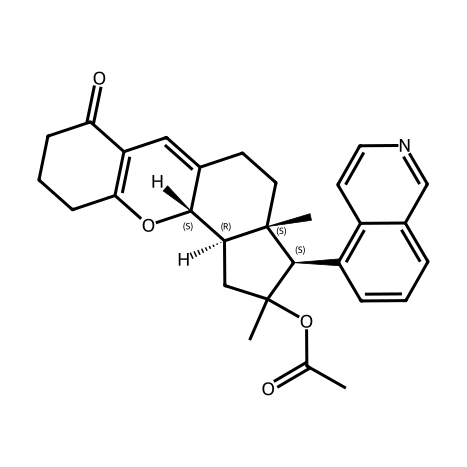 CC(=O)OC1(C)C[C@H]2[C@@H]3OC4=C(C=C3CC[C@]2(C)[C@H]1c1cccc2cnccc12)C(=O)CCC4